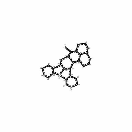 O=c1c2cccc3cccc(c32)c2c1cc1c3ccncc3n3c4cnccc4c2c13